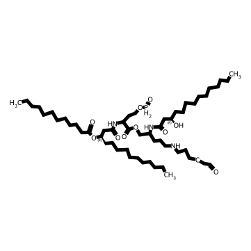 CCCCCCCCCCCC(=O)O[C@H](CCCCCCCCCCC)CC(=O)NC(CCO[PH2]=O)C(=O)OCC(CCCNCCCCCC=O)NC(=O)C[C@H](O)CCCCCCCCCCC